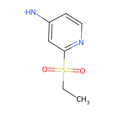 CCS(=O)(=O)c1cc([NH])ccn1